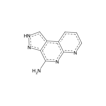 Nc1nc2ncccc2c2c[nH]nc12